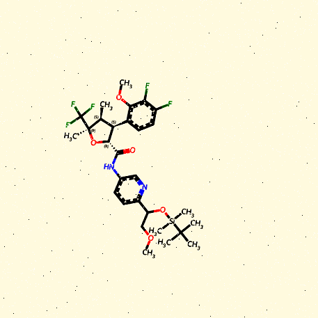 COCC(O[Si](C)(C)C(C)(C)C)c1ccc(NC(=O)[C@@H]2O[C@@](C)(C(F)(F)F)[C@@H](C)[C@H]2c2ccc(F)c(F)c2OC)cn1